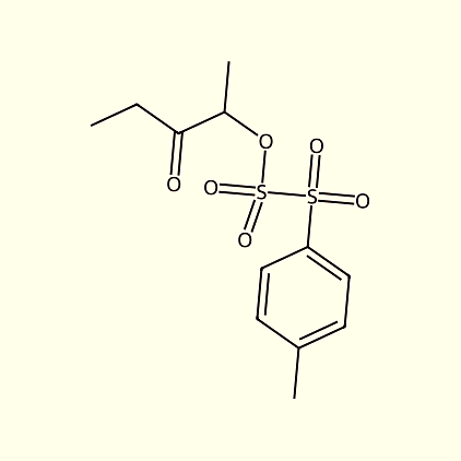 CCC(=O)C(C)OS(=O)(=O)S(=O)(=O)c1ccc(C)cc1